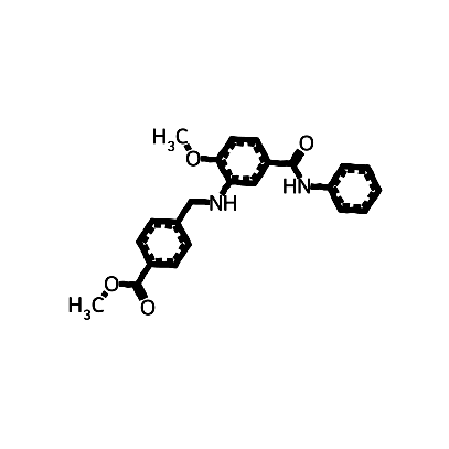 COC(=O)c1ccc(CNc2cc(C(=O)Nc3ccccc3)ccc2OC)cc1